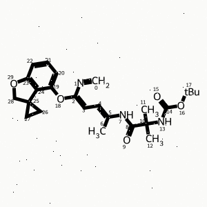 C=N/C(=C\C=C(/C)NC(=O)C(C)(C)NC(=O)OC(C)(C)C)Oc1cccc2c1C1(CC1)CO2